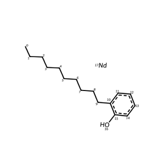 CCCCCCCCCCc1ccccc1O.[Nd]